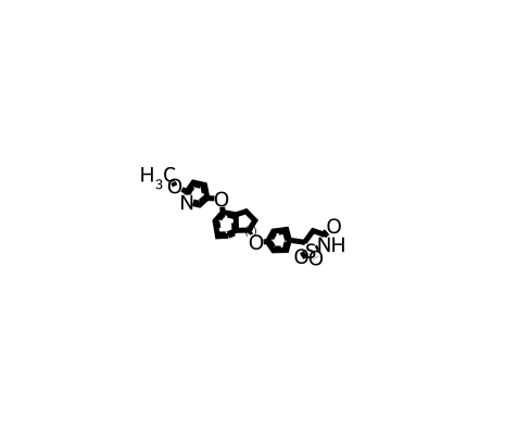 COc1ccc(Oc2cccc3c2CC[C@H]3Oc2ccc(C3CC(=O)NS3(=O)=O)cc2)cn1